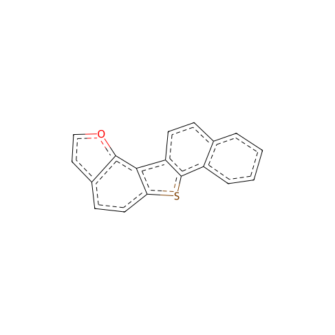 c1ccc2c(c1)ccc1c2sc2ccc3ccoc3c21